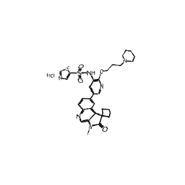 CN1C(=O)C2(CCC2)c2c1cnc1ccc(-c3cnc(OCCCN4CCCCC4)c(NS(=O)(=O)c4cncs4)c3)cc21.Cl